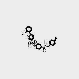 O=C(NCc1ccc(F)cc1)[C@H]1CC[C@H](NS(=O)(=O)c2ccc(-c3ccccc3Cl)nc2)CC1